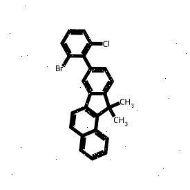 CC1(C)c2ccc(-c3c(Cl)cccc3Br)cc2-c2ccc3ccccc3c21